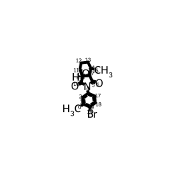 Cc1cc(N2C(=O)C3[C@H](C2=O)C2CCC3(C)O2)ccc1Br